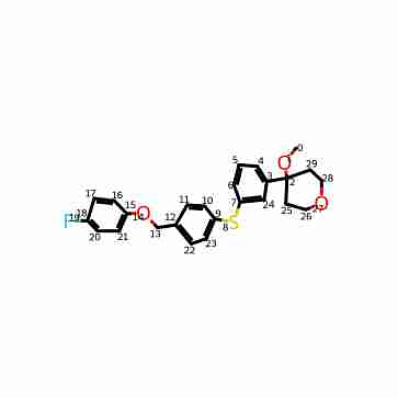 COC1(c2cccc(Sc3ccc(COc4ccc(F)cc4)cc3)c2)CCOCC1